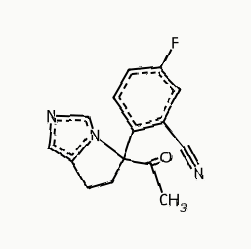 CC(=O)C1(c2ccc(F)cc2C#N)CCc2cncn21